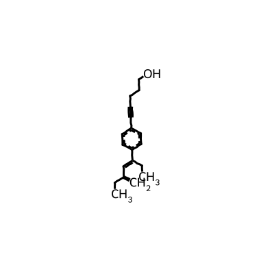 C=C(/C=C(\CC)c1ccc(C#CCCCO)cc1)CC